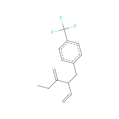 C=CC(Cc1ccc(C(F)(F)F)cc1)C(=C)CC